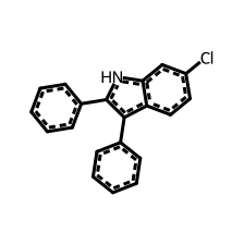 Clc1ccc2c(-c3ccccc3)c(-c3ccccc3)[nH]c2c1